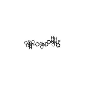 O=C(CC1CCC(OC(=O)N2CCc3cc(NC(=O)Nc4ccccc4F)ccc3C2)CC1)NC1(C(=O)O)CC1